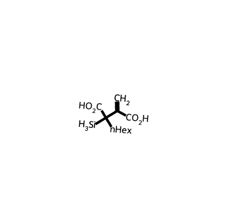 C=C(C(=O)O)C([SiH3])(CCCCCC)C(=O)O